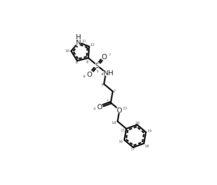 O=C(CCNS(=O)(=O)c1cc[nH]c1)OCc1ccccc1